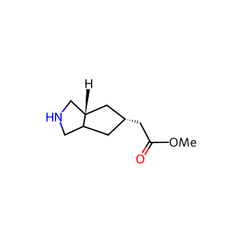 COC(=O)C[C@@H]1CC2CNC[C@@H]2C1